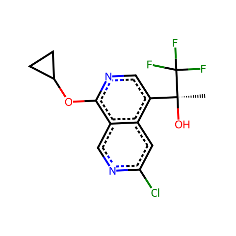 C[C@](O)(c1cnc(OC2CC2)c2cnc(Cl)cc12)C(F)(F)F